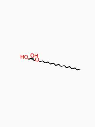 CCCCCCCCCCCCCCCCOC[C@@H](O)CO